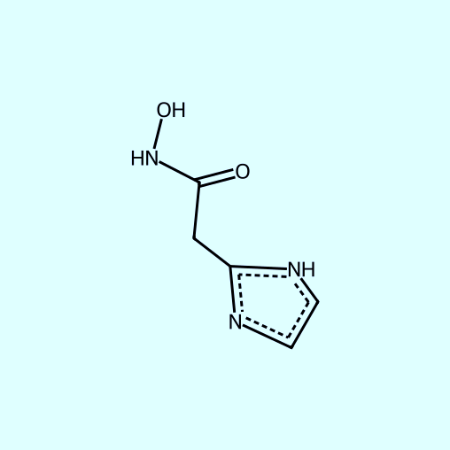 O=C(Cc1ncc[nH]1)NO